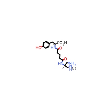 CCNC[C@](C)(CN)NC(=O)CCCC(=O)N[C@@H](Cc1ccc(O)cc1)C(=O)O